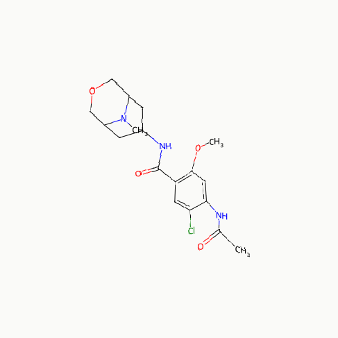 COc1cc(NC(C)=O)c(Cl)cc1C(=O)NC1CC2COCC(C1)N2C